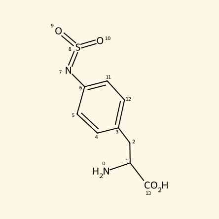 NC(Cc1ccc(N=S(=O)=O)cc1)C(=O)O